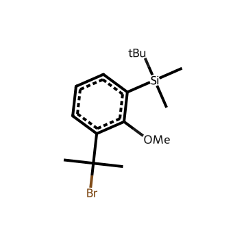 COc1c(C(C)(C)Br)cccc1[Si](C)(C)C(C)(C)C